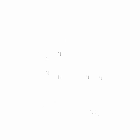 O=[N+]([O-])c1cnn(C(CC(F)F)c2nnnn2CC2CC2)c1